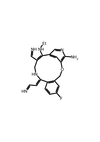 CCN/C1=C(\C=N)CN/C(=C\C=N)c2ccc(F)cc2COc2cc1cnc2N